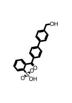 O=C(c1ccc(-c2ccc(CO)cc2)cc1)c1ccccc1S(=O)(=O)O